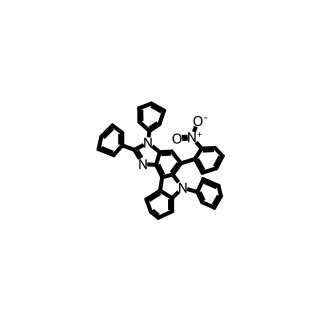 O=[N+]([O-])c1ccccc1-c1cc2c(nc(-c3ccccc3)n2-c2ccccc2)c2c3ccccc3n(-c3ccccc3)c12